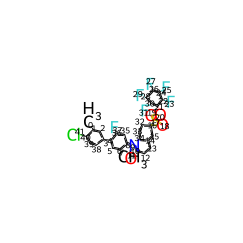 Cc1cc(-c2cc(C)c(-n3c(=O)ccc4cc(S(=O)(=O)Oc5c(F)c(F)c(F)c(F)c5F)ccc43)cc2F)ccc1Cl